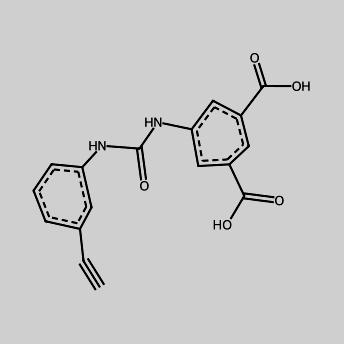 C#Cc1cccc(NC(=O)Nc2cc(C(=O)O)cc(C(=O)O)c2)c1